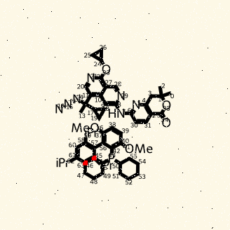 CC1(C)Cc2nc(Nc3cc4c(C(C)(N=[N+]=[N-])C5CC5)cnc(OC5CC5)c4cn3)ccc2C(=O)O1.COc1ccc(OC)c(P(C2CCCCC2)C2CCCCC2)c1-c1c(C(C)C)cc(C(C)C)cc1C(C)C